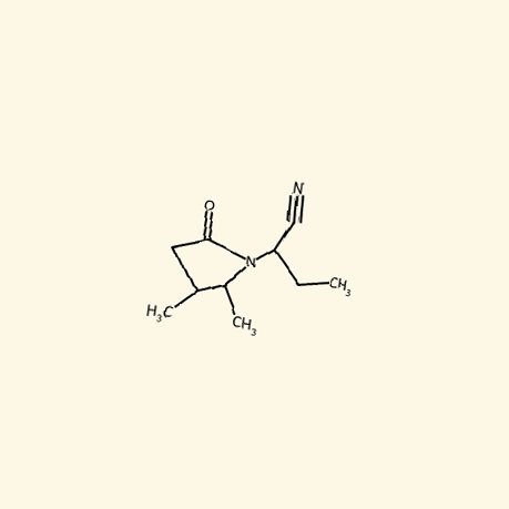 CCC(C#N)N1C(=O)CC(C)C1C